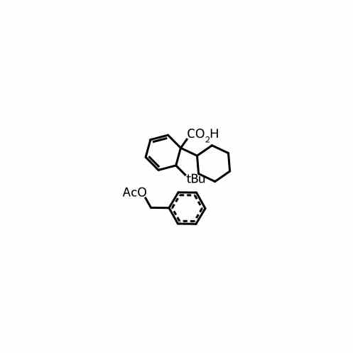 CC(=O)OCc1ccccc1.CC(C)(C)C1C=CC=CC1(C(=O)O)C1CCCCC1